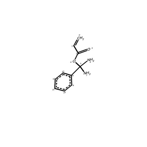 C=CC(=O)OC(N)(N)c1ccccc1